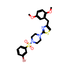 COc1ccc(OC)c(Cc2csc(N3CCN(S(=O)(=O)c4cccc(Br)c4)CC3)n2)c1